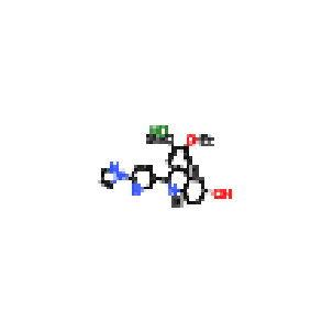 CCOc1cc2c(cc1OC)C(c1ccc(-n3cccn3)nc1)=N[C@@H]1CC[C@@H](O)C[C@H]21.Cl